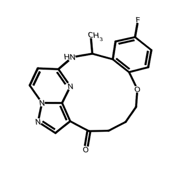 CC1Nc2ccn3ncc(c3n2)C(=O)CCCOc2ccc(F)cc21